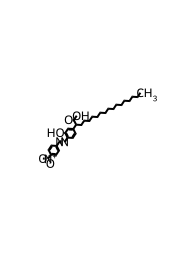 CCCCCCCCCCCCCCCCC(C(=O)O)c1ccc(N=Nc2ccc([N+](=O)[O-])cc2)c(O)c1